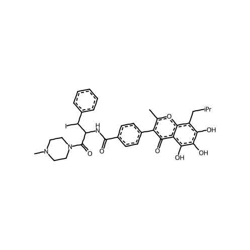 Cc1oc2c(CC(C)C)c(O)c(O)c(O)c2c(=O)c1-c1ccc(C(=O)NC(C(=O)N2CCN(C)CC2)C(I)c2ccccc2)cc1